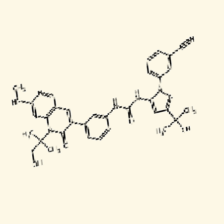 CNc1ncc2cc(-c3cccc(NC(=O)Nc4cc(C(C)(C)C)nn4-c4cccc(C#N)c4)c3)c(=O)n(C(C)(C)CO)c2n1